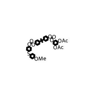 COc1ccc(Sc2ccc(OC(=O)Oc3ccc(C(C)(C)c4ccc(OC(=O)Oc5cc(OC(C)=O)cc(OC(C)=O)c5)cc4)cc3)cc2)cc1